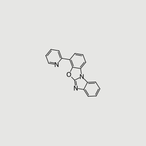 c1ccc(-c2cccc3c2oc2nc4ccccc4n23)nc1